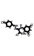 CC(C)(C)C(=O)/C(=N/Nc1ccc(Cl)cc1)Nc1cc(Cl)cc(Cl)c1